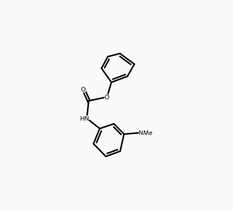 CNc1cccc(NC(=O)Oc2ccccc2)c1